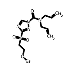 C=CCN(CC=C)C(=O)n1cnc(S(=O)(=O)CCOCC)n1